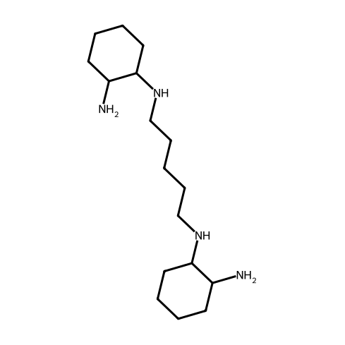 NC1CCCCC1NCCCCCNC1CCCCC1N